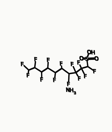 N.O=S(=O)(O)C(F)C(F)(F)C(F)(F)C(F)C(F)C(F)C(F)C(F)C(F)C(F)F